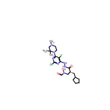 CN1CCN(c2nc(Cl)nc(NNC(=O)[C@@H](CC3CCCC3)CN(O)C=O)c2F)C(C)(C)C1